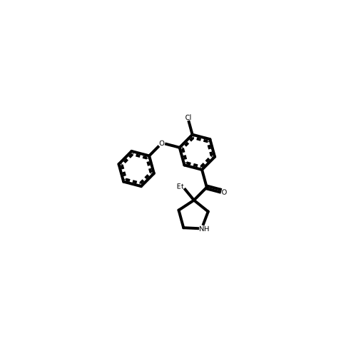 CCC1(C(=O)c2ccc(Cl)c(Oc3ccccc3)c2)CCNC1